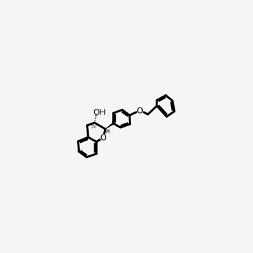 O[C@H]1Cc2ccccc2O[C@@H]1c1ccc(OCc2ccccc2)cc1